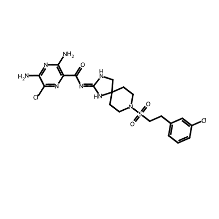 Nc1nc(N)c(C(=O)/N=C2\NCC3(CCN(S(=O)(=O)CCc4cccc(Cl)c4)CC3)N2)nc1Cl